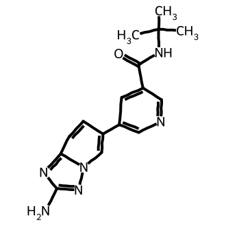 CC(C)(C)NC(=O)c1cncc(-c2ccc3nc(N)nn3c2)c1